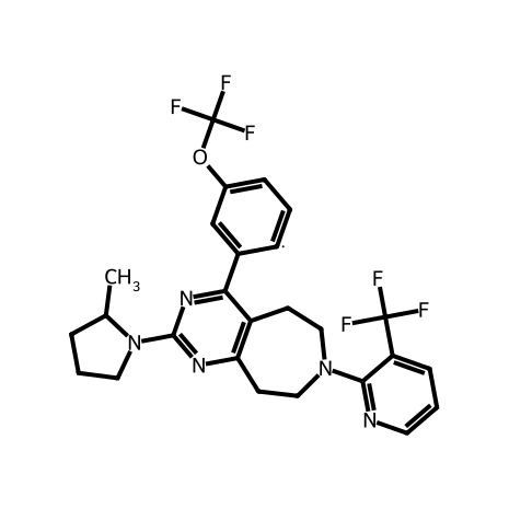 CC1CCCN1c1nc2c(c(-c3[c]ccc(OC(F)(F)F)c3)n1)CCN(c1ncccc1C(F)(F)F)CC2